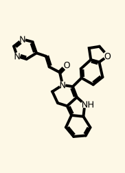 O=C(/C=C/c1cncnc1)N1CCC2=C3C=CC=CC3NC2=C1c1ccc2c(c1)CCO2